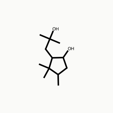 CC1CC(O)C(CC(C)(C)O)C1(C)C